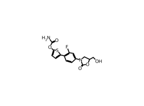 NC(=O)Oc1ccc(-c2ccc(N3CC(CO)OC3=O)cc2F)s1